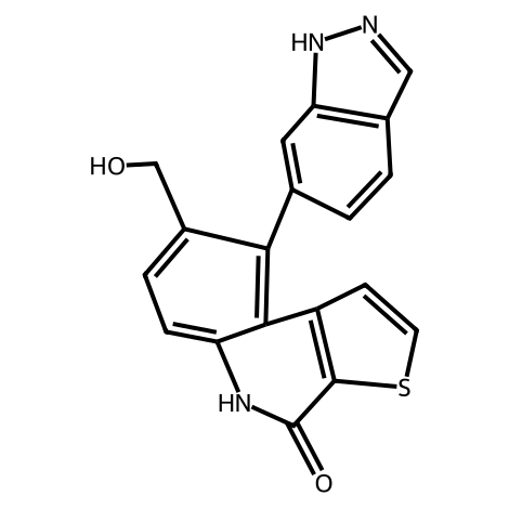 O=c1[nH]c2ccc(CO)c(-c3ccc4cn[nH]c4c3)c2c2ccsc12